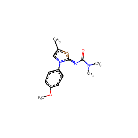 Cc1cn(-c2ccc(OC(F)(F)F)cc2)c(=NC(=O)N(C)C)s1